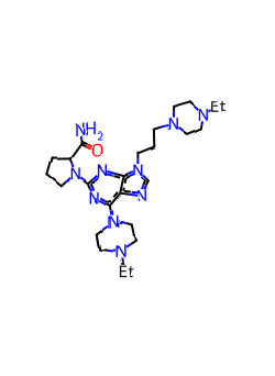 CCN1CCN(CCCn2cnc3c(N4CCN(CC)CC4)nc(N4CCCC4C(N)=O)nc32)CC1